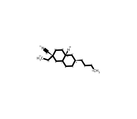 CCCC[C@H]1CCC2C[C@](C#N)(CC)CC[C@@H]2C1